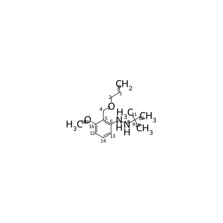 C=CCOCc1c(NNC(C)(C)C)cccc1OC